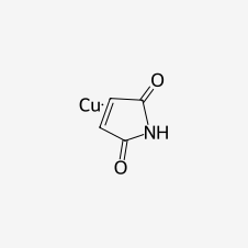 O=C1C=CC(=O)N1.[Cu]